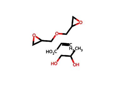 C(OCC1CO1)C1CO1.C=CC(=O)O.CC(O)CO